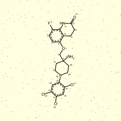 NC1(COc2ccc(F)c3c2CCC(=O)N3)CCN(c2cc(Cl)c(Cl)cc2Cl)CC1